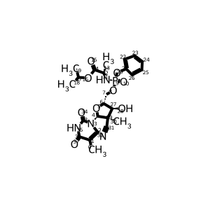 Cc1cn([C@@H]2O[C@H](CO[P@@](=O)(N[C@H](C)C(=O)OC(C)C)Oc3ccccc3)[C@@H](O)[C@@]2(C)C#N)c(=O)[nH]c1=O